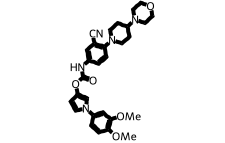 COc1ccc(-n2ccc(OC(=O)Nc3ccc(N4CCC(N5CCOCC5)CC4)c(C#N)c3)c2)cc1OC